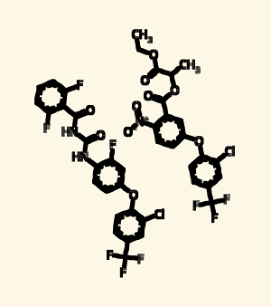 CCOC(=O)C(C)OC(=O)c1cc(Oc2ccc(C(F)(F)F)cc2Cl)ccc1[N+](=O)[O-].O=C(NC(=O)c1c(F)cccc1F)Nc1ccc(Oc2ccc(C(F)(F)F)cc2Cl)cc1F